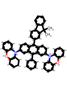 CC1(C)c2ccccc2-c2ccc(-c3c4ccc(N5C6=C(C=CCC6)Oc6ccccc65)cc4c(-c4ccccc4)c4cc(N5c6ccccc6Oc6ccccc65)ccc34)cc21